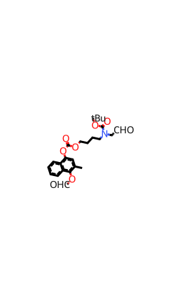 Cc1cc(OC(=O)OCCCCN(CC=O)C(=O)OC(C)(C)C)c2ccccc2c1OC=O